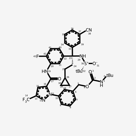 CC(C)(C)NC(=O)OCc1cccc(-n2nc(C(F)(F)F)cc2C(=O)Nc2cc([C@](CCC3CC3)(N[S@+]([O-])C(C)(C)C)c3cccc(C#N)c3)ccc2F)c1